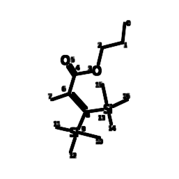 CCCOC(=O)C(C)=C([Si](C)(C)C)[Si](C)(C)C